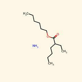 CCCCCCOC(=O)C(CC)CCCC.N